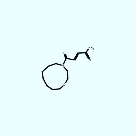 NC(=O)/C=C/C(=O)N1CCCCCCCCCC1